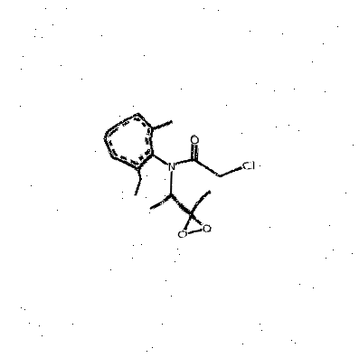 Cc1cccc(C)c1N(C(=O)CCl)C(C)C1(C)OO1